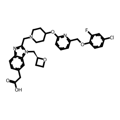 O=C(O)Cc1ccc2nc(CN3CCC(Oc4cccc(COc5ccc(Cl)cc5F)n4)CC3)n(C[C@@H]3CCO3)c2c1